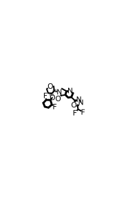 O=C1c2cc(-c3nnc(C(F)F)o3)cnc2CN1[C@@H]1COCC[C@H]1Oc1c(F)cccc1F